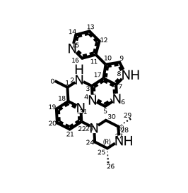 CC(Nc1ncnc2[nH]cc(-c3cccnc3)c12)c1cccc(N2C[C@@H](C)N[C@@H](C)C2)n1